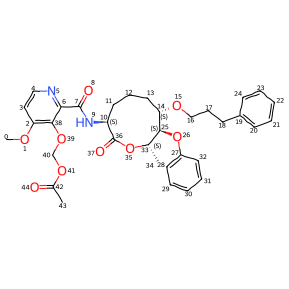 COc1ccnc(C(=O)N[C@H]2CCC[C@H](OCCCc3ccccc3)[C@@H](Oc3ccccc3)[C@H](C)OC2=O)c1OCOC(C)=O